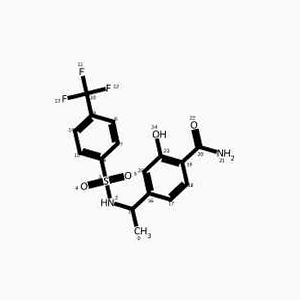 CC(NS(=O)(=O)c1ccc(C(F)(F)F)cc1)c1ccc(C(N)=O)c(O)c1